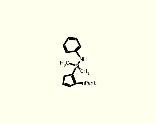 CCCCCC1=C([Si](C)(C)Nc2ccccc2)CC=C1